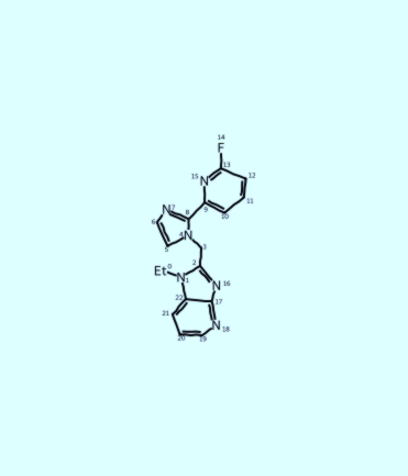 CCn1c(Cn2ccnc2-c2cccc(F)n2)nc2ncccc21